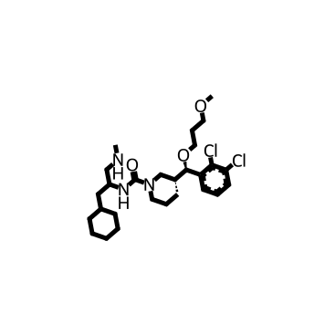 CNCC(CC1CCCCC1)NC(=O)N1CCC[C@@H]([C@@H](OCCCOC)c2cccc(Cl)c2Cl)C1